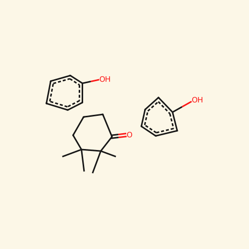 CC1(C)CCCC(=O)C1(C)C.Oc1ccccc1.Oc1ccccc1